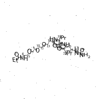 CCC(=O)NCCOCCOCCOCCC(=O)NC(C(=O)NC(CCCNC(N)=O)C(=O)C(C)C)C(C)C